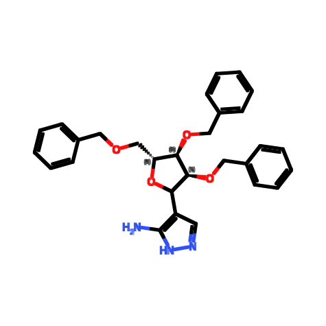 Nc1[nH]ncc1C1O[C@H](COCc2ccccc2)[C@@H](OCc2ccccc2)[C@H]1OCc1ccccc1